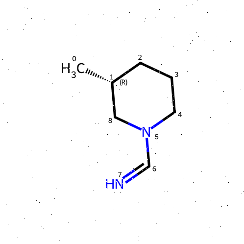 C[C@@H]1CCCN(C=N)C1